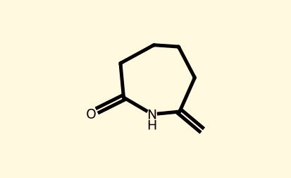 C=C1CCCCC(=O)N1